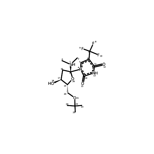 C[SiH](C)[C@]1(n2cc(C(F)(F)F)c(=O)[nH]c2=O)C[C@H](O)[C@@H](COC(C)(C)C)O1